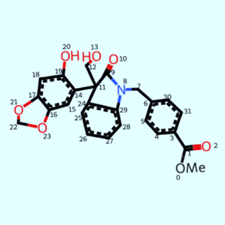 COC(=O)c1ccc(CN2C(=O)C(CO)(c3cc4c(cc3O)OCO4)c3ccccc32)cc1